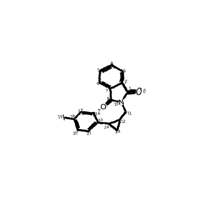 O=C1c2ccccc2C(=O)N1CC1CC1c1ccc(I)cc1